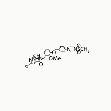 COc1c(CNC(=O)c2cc(C3CC3)nn2C)cccc1OCc1ccc(N2CCN(S(C)(=O)=O)CC2)cc1